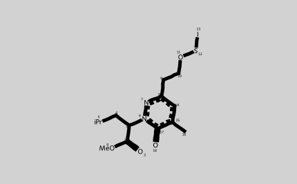 COC(=O)C(CC(C)C)n1nc(CCOSI)cc(C)c1=O